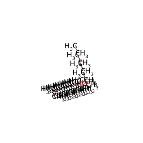 CC(C)O.CCCCCC.CCCCCC.CCCCCC.CCCCCC.CCCCCC.CCCCCC.CCCCCC.CCCCCC.CCCCCC.CCCCCC.CCCCCC.CCCCCC.CCCCCC.CCCCCC.CCCCCC.CCCCCC.CCCCCC.CCCCCC